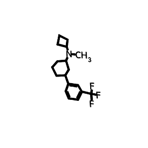 CN(C1CCC1)C1CCCC(c2cccc(C(F)(F)F)c2)C1